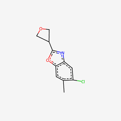 Cc1cc2oc(C3COC3)nc2cc1Cl